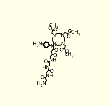 COC(=O)CN1CCN(CC(=O)OC)CCN(N(C(=O)CC(=O)CNC(=O)CNC(=O)CNC(=O)CN)c2ccc(N)cc2)CCN(CC(=O)OC)CC1